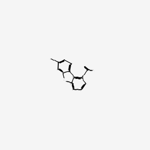 Cc1ccc2c(c1)[nH]c1cccc(C(N)=O)c12